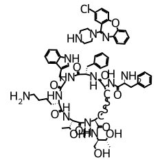 CC(O)[C@@H]1NC(=O)[C@H](CCCCN)NC(=O)[C@@H](Cc2c[nH]c3ccccc23)NC(=O)[C@H](Cc2ccccc2)NC(=O)[C@@H](NC(=O)[C@H](N)Cc2ccccc2)CSSC[C@@H](C(=O)N[C@H](CO)[C@@H](C)O)NC1=O.Clc1ccc2c(c1)C(N1CCNCC1)=Nc1ccccc1O2